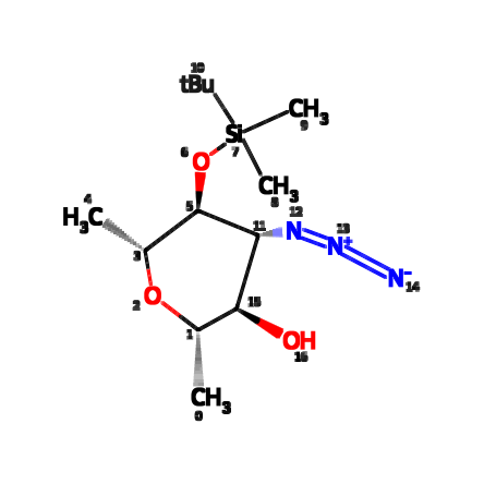 C[C@@H]1O[C@H](C)[C@@H](O[Si](C)(C)C(C)(C)C)[C@H](N=[N+]=[N-])[C@H]1O